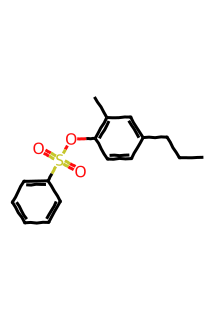 CCCc1ccc(OS(=O)(=O)c2ccccc2)c(C)c1